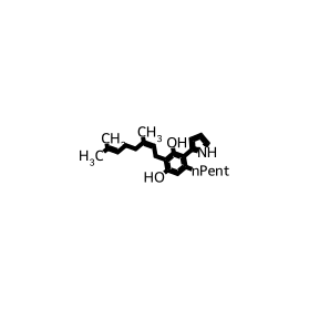 CCCCCc1cc(O)c(CC=C(C)CCC=C(C)C)c(O)c1-c1ccc[nH]1